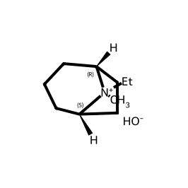 CC[N+]1(C)[C@@H]2CCC[C@H]1CC2.[OH-]